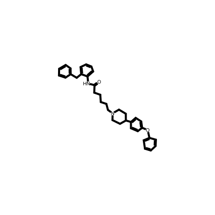 O=C(CCCCCN1CCC(c2ccc(Oc3ccccc3)cc2)CC1)Nc1ccccc1Cc1ccccc1